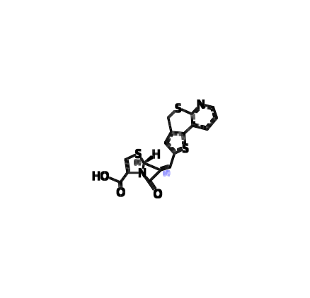 O=C(O)C1=CS[C@@H]2/C(=C\c3cc4c(s3)-c3cccnc3SC4)C(=O)N12